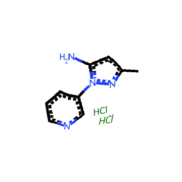 Cc1cc(N)n(-c2cccnc2)n1.Cl.Cl